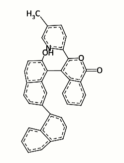 Cc1ccc(-c2oc(=O)c3ccccc3c2-c2c(O)ccc3ccc(-c4cccc5ccccc45)cc23)nc1